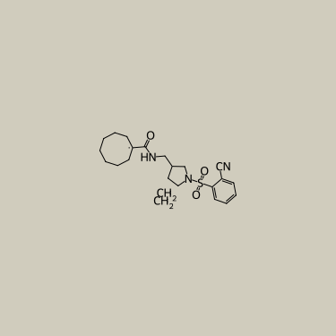 N#Cc1ccccc1S(=O)(=O)N1CCC(CNC(=O)[C]2CCCCCCC2)C1.[CH2].[CH2]